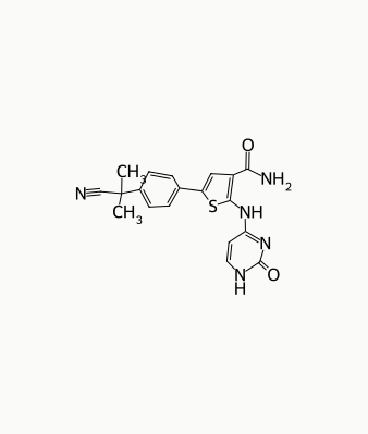 CC(C)(C#N)c1ccc(-c2cc(C(N)=O)c(Nc3cc[nH]c(=O)n3)s2)cc1